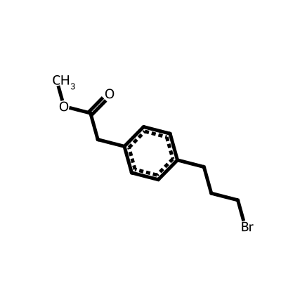 COC(=O)Cc1ccc(CCCBr)cc1